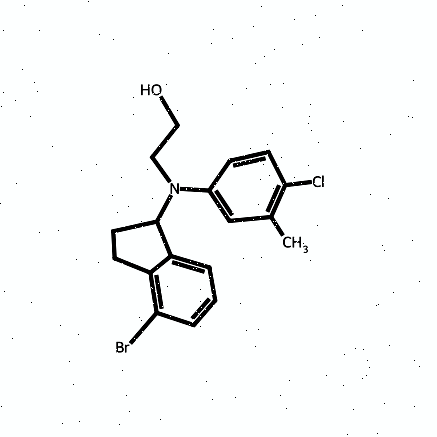 Cc1cc(N(CCO)C2CCc3c(Br)cccc32)ccc1Cl